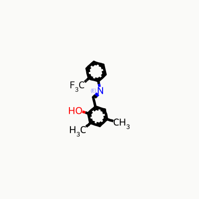 Cc1cc(C)c(O)c(/C=N/c2ccccc2C(F)(F)F)c1